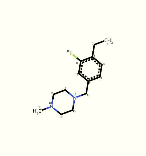 CCc1ccc(CN2CCN(C)CC2)cc1F